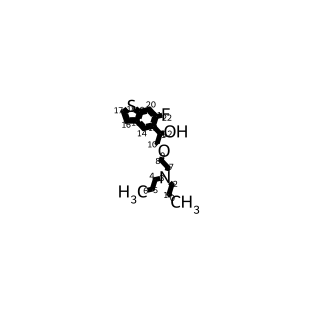 CCCN(CCC)CCOCC(O)c1cc2ccsc2cc1F